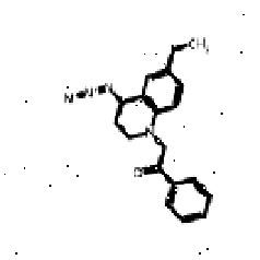 CCc1ccc2c(c1)C(N=[N+]=[N-])CCN2CC(=O)c1ccccc1